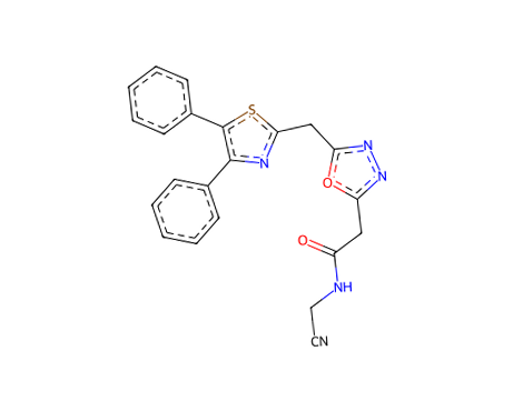 N#CCNC(=O)Cc1nnc(Cc2nc(-c3ccccc3)c(-c3ccccc3)s2)o1